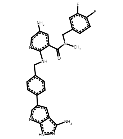 CN(Cc1ccc(F)c(F)c1)C(=O)c1cc(N)cnc1NCc1ccc(-c2cnc3[nH]nc(N)c3c2)cc1